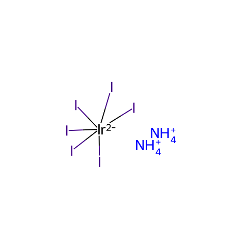 [I][Ir-2]([I])([I])([I])([I])[I].[NH4+].[NH4+]